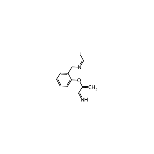 C=C(C=N)Oc1ccccc1C/N=C\I